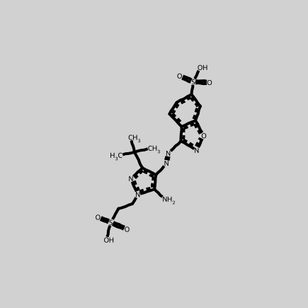 CC(C)(C)c1nn(CCS(=O)(=O)O)c(N)c1N=Nc1noc2cc(S(=O)(=O)O)ccc12